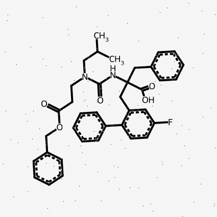 CC(C)CN(CCC(=O)OCc1ccccc1)C(=O)NC(Cc1ccccc1)(Cc1cc(F)ccc1-c1ccccc1)C(=O)O